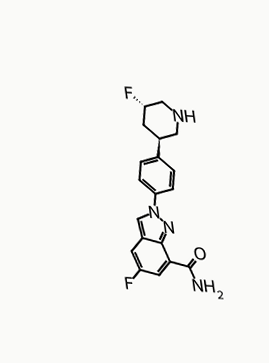 NC(=O)c1cc(F)cc2cn(-c3ccc([C@@H]4CNC[C@@H](F)C4)cc3)nc12